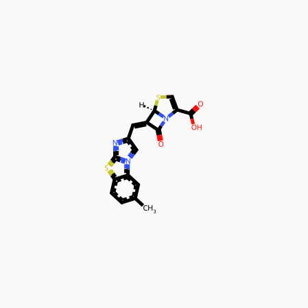 Cc1ccc2sc3nc(C=C4C(=O)N5C(C(=O)O)=CS[C@H]45)cn3c2c1